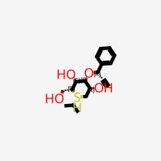 C#C[C@H](O[C@@H]1[C@H](O)[C@@H](CO)[SH](C(C)C)C[C@@H]1O)c1ccccc1